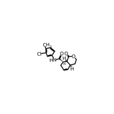 Cc1ccc(NC(=O)[C@@H]2CC=C[C@@H]3CCOC(=O)[C@@H]32)cc1Cl